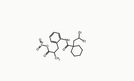 CCC(CC)CC1(C(=O)Nc2ccccc2CC(C)C(=O)O[SH](=O)=O)CCCCC1